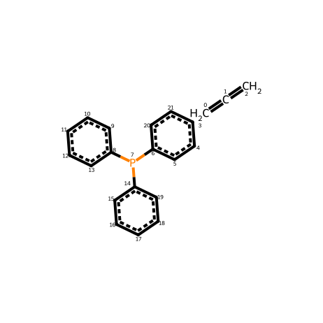 C=C=C.c1ccc(P(c2ccccc2)c2ccccc2)cc1